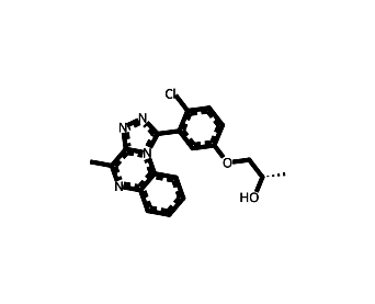 Cc1nc2ccccc2n2c(-c3cc(OC[C@H](C)O)ccc3Cl)nnc12